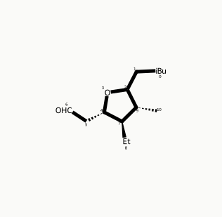 CCC(C)CC1O[C@@H](CC=O)[C@H](CC)[C@H]1C